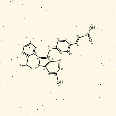 CC(C)c1ccccc1-c1sc2cc(O)ccc2c1Oc1ccc(/C=C/C(=O)O)nc1